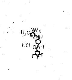 CNc1cc(NC2CCC(NC(=O)c3cc(F)c(F)c(F)c3)CC2)ncc1C.Cl